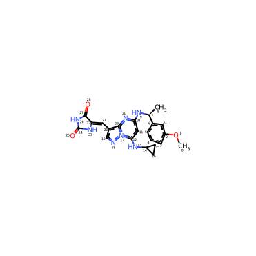 COc1cccc([C@H](C)Nc2cc(NC3CC3)n3ncc(/C=C4\NC(=O)NC4=O)c3n2)c1